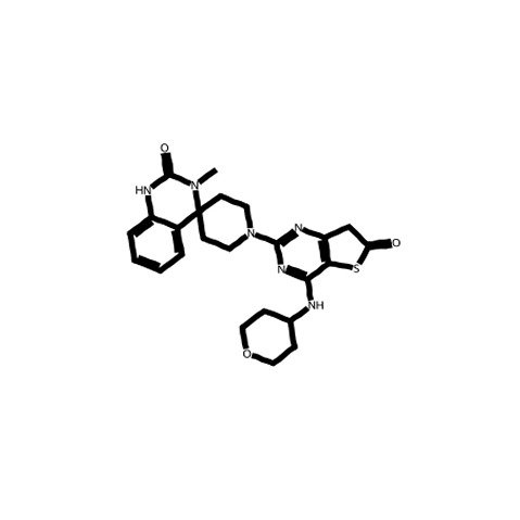 CN1C(=O)Nc2ccccc2C12CCN(c1nc3c(c(NC4CCOCC4)n1)SC(=O)C3)CC2